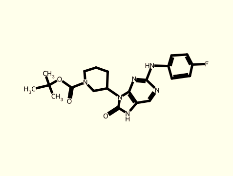 CC(C)(C)OC(=O)N1CCCC(n2c(=O)[nH]c3cnc(Nc4ccc(F)cc4)nc32)C1